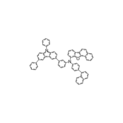 c1ccc(-c2ccc3c(c2)c2cc(-c4cccc(N(c5ccc(-c6cccc7ccccc67)cc5)c5cccc6c5oc5c7ccccc7ccc65)c4)ccc2n3-c2ccccc2)cc1